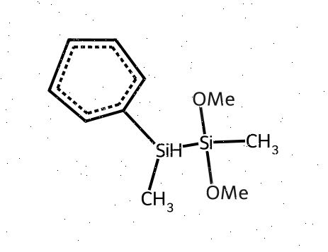 CO[Si](C)(OC)[SiH](C)c1ccccc1